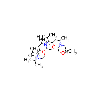 CC(C)[C@@H]1C(CC(C)N2CCOC(CC(C)N3CCO[C@H](C)C3)[C@@H]2C(C)C)OCCN1C(C)C